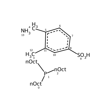 CCCCCCCCP(CCCCCCCC)CCCCCCCC.Cc1ccc(S(=O)(=O)O)cc1C.N